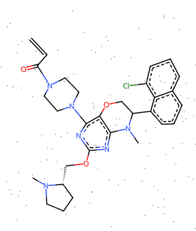 C=CC(=O)N1CCN(c2nc(OC[C@@H]3CCCN3C)nc3c2OCC(c2cccc4cccc(Cl)c24)N3C)CC1